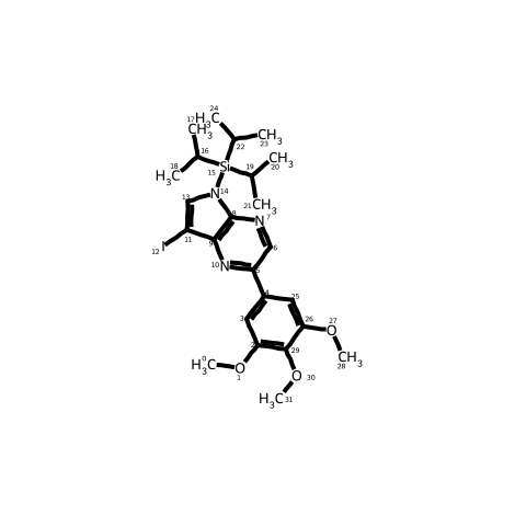 COc1cc(-c2cnc3c(n2)c(I)cn3[Si](C(C)C)(C(C)C)C(C)C)cc(OC)c1OC